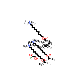 C=C(C)C(=O)OCCCCCCCCCCCC[N+](C)(C)C.C=C(C)C(=O)OCCCCCCCCCCCC[N+](C)(C)C.C=C(C)C(=O)OCCCCCCCCCCCC[N+](C)(C)C.C=C(C)C(=O)[O-].C=C(C)C(=O)[O-].OCCO.[Cl-]